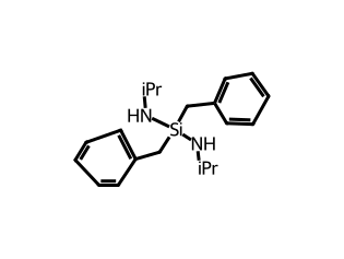 CC(C)N[Si](Cc1ccccc1)(Cc1ccccc1)NC(C)C